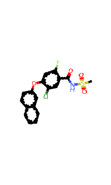 CS(=O)(=O)NC(=O)c1cc(Cl)c(Oc2ccc3ccccc3c2)cc1F